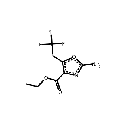 CCOC(=O)c1nc(N)oc1CC(F)(F)F